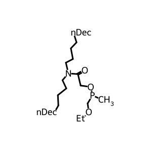 CCCCCCCCCCCCCCN(CCCCCCCCCCCCCC)C(=O)COP(C)COCC